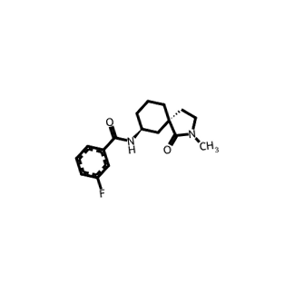 CN1CC[C@]2(CCC[C@H](NC(=O)c3cccc(F)c3)C2)C1=O